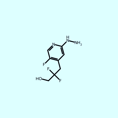 NNc1cc(CC(F)(F)CO)c(F)cn1